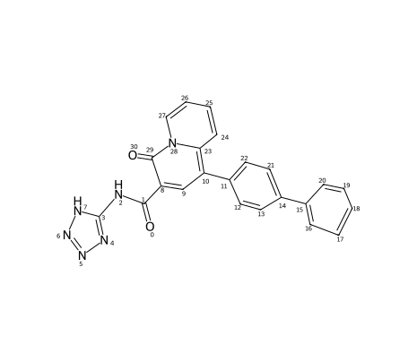 O=C(Nc1nnn[nH]1)c1cc(-c2ccc(-c3ccccc3)cc2)c2ccccn2c1=O